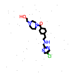 O=C(C1CCC(CCNCc2ncc(Cl)cn2)CC1)N1CCCN(CCO)CC1